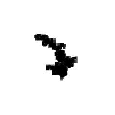 CCN(C(=O)c1cc(F)ccc1Oc1nnc(Cl)nc1N1CCC2(C1)CN([C@H](CCCNC(=O)OC(C)(C)C)C(C)C)C2)C(C)C